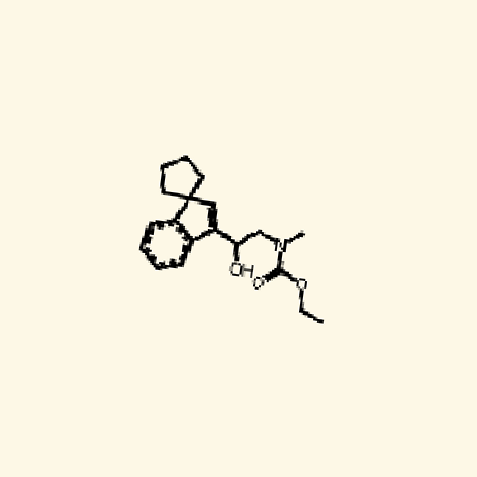 CCOC(=O)N(C)CC(O)C1=CC2(CCCC2)c2ccccc21